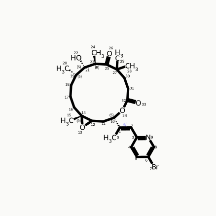 C/C(=C\c1ccc(Br)cn1)[C@@H]1CC2O[C@]2(C)CCC[C@H](C)[C@H](O)[C@@H](C)C(=O)C(C)(C)CCC(=O)O1